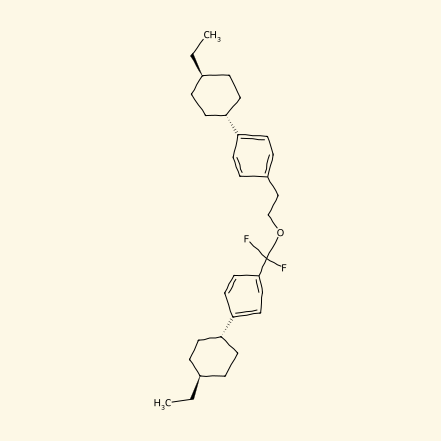 CC[C@H]1CC[C@H](c2ccc(CCOC(F)(F)c3ccc([C@H]4CC[C@H](CC)CC4)cc3)cc2)CC1